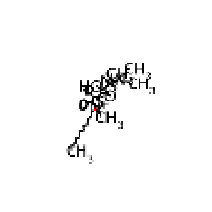 CCCCCCCCCCCC/[N+](CC)=C1/S/C(=C2\C(=O)C(c3nc(C)c(N(CCCC)CCCC)s3)=C2O)C(c2ccccc2)=C1c1ccccc1